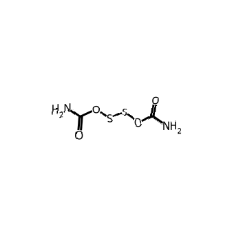 NC(=O)OSSOC(N)=O